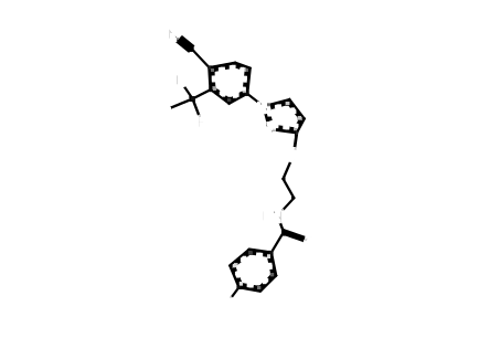 N#Cc1ccc(-n2ccc(CCCNC(=O)c3ccc(F)cc3)n2)cc1C(F)(F)F